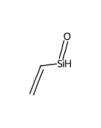 C=C[SiH]=O